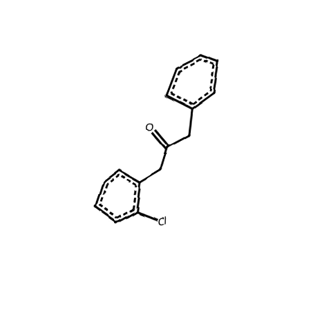 O=C(Cc1ccccc1)Cc1ccccc1Cl